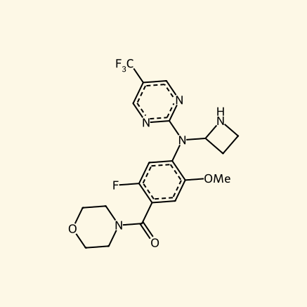 COc1cc(C(=O)N2CCOCC2)c(F)cc1N(c1ncc(C(F)(F)F)cn1)C1CCN1